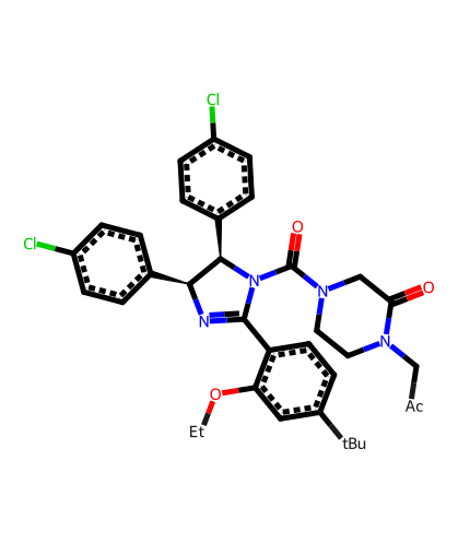 CCOc1cc(C(C)(C)C)ccc1C1=N[C@@H](c2ccc(Cl)cc2)[C@@H](c2ccc(Cl)cc2)N1C(=O)N1CCN(CC(C)=O)C(=O)C1